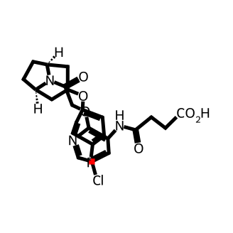 O=C(O)CCC(=O)Nc1cc(Cl)cnc1OCC(=O)N1[C@@H]2CC[C@H]1CC(Oc1ccc(F)cc1)C2